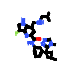 CC(C)CNCc1cc(C(=O)Nc2cccc(C3(c4nncn4C)CC(C)C3)c2)nc2c(F)c[nH]c12